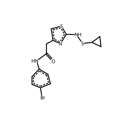 O=C(Cc1csc(NSC2CC2)n1)Nc1ccc(Br)cc1